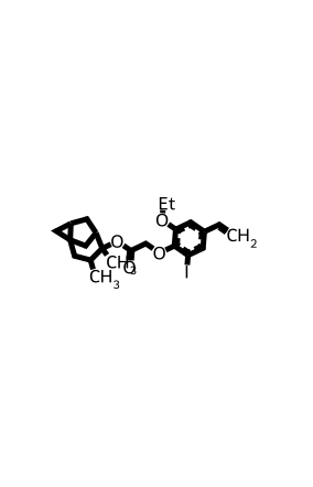 C=Cc1cc(I)c(OCC(=O)OC2(C)C(C)CC34CC3CC2C4)c(OCC)c1